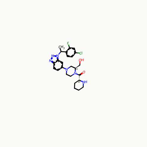 CC(c1ccc(Cl)cc1F)n1nnc2ccc(N3CCN(C(=O)[C@H]4CCCCN4)[C@H](CO)C3)cc21